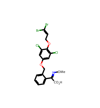 CON=C(C(=O)O)c1ccccc1COc1cc(Cl)c(OCC=C(Br)Br)c(Cl)c1